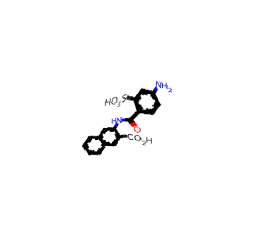 Nc1ccc(C(=O)Nc2cc3ccccc3cc2C(=O)O)c(S(=O)(=O)O)c1